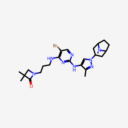 Cc1nn(C2CC3CCC(C2)N3C)cc1Nc1ncc(Br)c(NCCCN2CC(C)(C)C2=O)n1